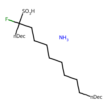 CCCCCCCCCCCCCCCCCCC(F)(CCCCCCCCCC)S(=O)(=O)O.N